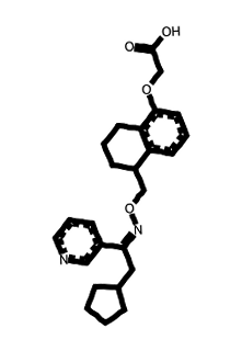 O=C(O)COc1cccc2c1CCCC2CON=C(CC1CCCC1)c1cccnc1